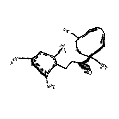 CC(C)C1=CC=CC(C(=O)CCc2c(C(C)C)cc(C(C)C)cc2C(C)C)(C(C)C)[CH]1